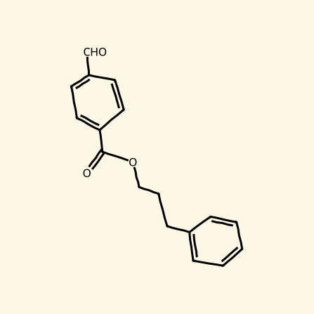 O=Cc1ccc(C(=O)OCCCc2ccccc2)cc1